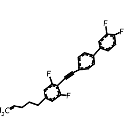 C=CCCCc1cc(F)c(C#Cc2ccc(-c3ccc(F)c(F)c3)cc2)c(F)c1